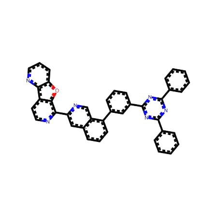 c1ccc(-c2nc(-c3ccccc3)nc(-c3cccc(-c4cccc5cc(-c6nccc7c6oc6cccnc67)ncc45)c3)n2)cc1